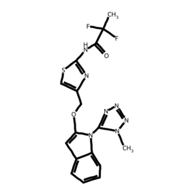 Cn1nnnc1-n1c(OCc2csc(NC(=O)C(C)(F)F)n2)cc2ccccc21